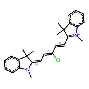 CN1/C(=C/C=C(Cl)/C=C/C2=[N+](C)c3ccccc3C2(C)C)C(C)(C)c2ccccc21